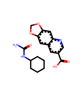 NC(=O)NC1CCCCC1.O=C(O)c1cnc2cc3c(cc2c1)OCO3